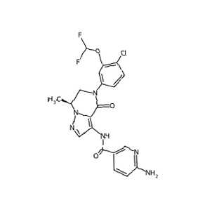 C[C@H]1CN(c2ccc(Cl)c(OC(F)F)c2)C(=O)c2c(NC(=O)c3ccc(N)nc3)cnn21